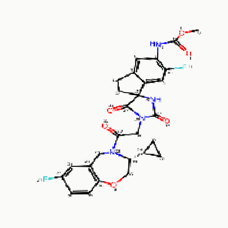 COC(=O)Nc1cc2c(cc1F)C1(CC2)NC(=O)N(CC(=O)N2Cc3cc(F)ccc3OC[C@H]2C2CC2)C1=O